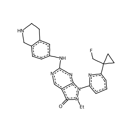 CCn1c(=O)c2cnc(Nc3ccc4c(c3)CCNC4)nc2n1-c1cccc(C2(CF)CC2)n1